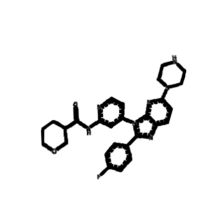 O=C(Nc1cc(-n2c(-c3ccc(F)cc3)nc3ccc(N4CCNCC4)nc32)ccn1)C1CCCOC1